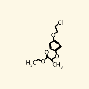 CCOC(=O)C(C)Oc1ccc(OCCCl)cc1